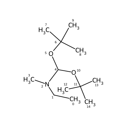 CCN(C)C(OC(C)(C)C)OC(C)(C)C